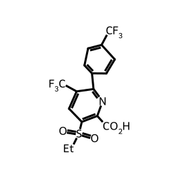 CCS(=O)(=O)c1cc(C(F)(F)F)c(-c2ccc(C(F)(F)F)cc2)nc1C(=O)O